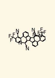 N#CC(C#N)=C1C2=C(C(=C(C#N)C#N)c3c2cccc3-c2cccc(C(F)(F)F)c2C#N)c2cccc(-c3cccc(C(F)(F)F)c3C#N)c21